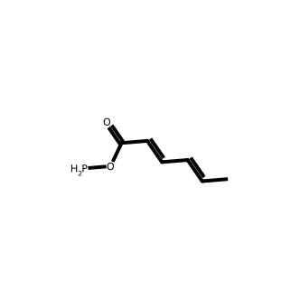 CC=CC=CC(=O)OP